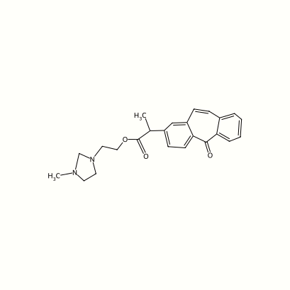 CC(C(=O)OCCN1CCN(C)C1)c1ccc2c(=O)c3ccccc3ccc2c1